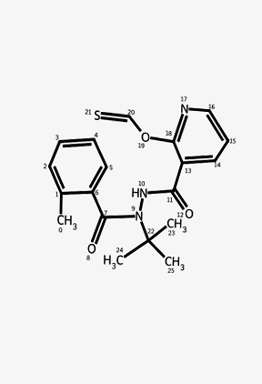 Cc1ccccc1C(=O)N(NC(=O)c1cccnc1OC=S)C(C)(C)C